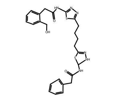 O=C(Cc1ccccc1CO)Nc1nnc(CCCCC2=NNC(NC(=O)Cc3ccccc3)S2)s1